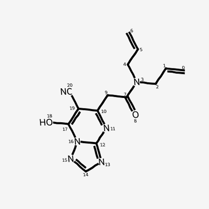 C=CCN(CC=C)C(=O)Cc1nc2ncnn2c(O)c1C#N